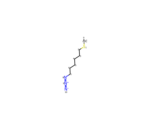 CC(=O)SCCCCCCN=[N+]=[N-]